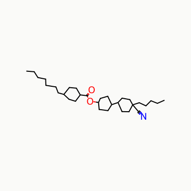 CCCCCCCC1CCC(C(=O)OC2CCC(C3CCC(C#N)(CCCCC)CC3)CC2)CC1